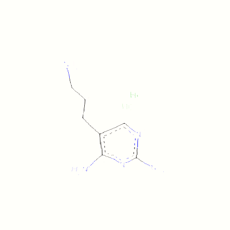 Cl.Cl.NCCCc1cnc(N)nc1N